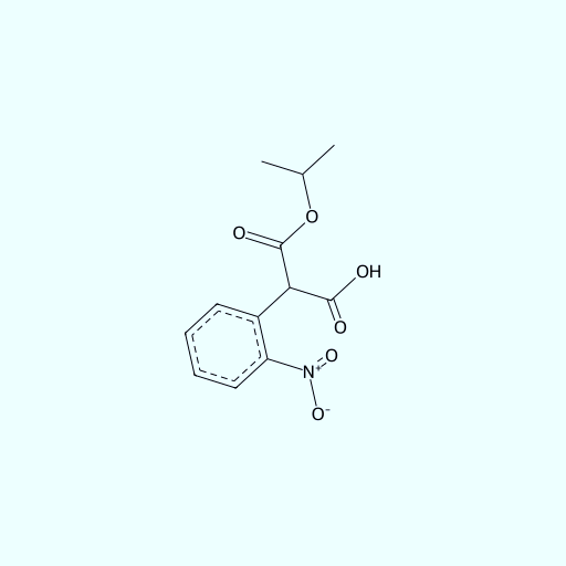 CC(C)OC(=O)C(C(=O)O)c1ccccc1[N+](=O)[O-]